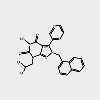 CC(C)Cn1c(=O)n(C)c(=O)c2c(-c3cccnc3)n(Cc3cccc4ccccc34)nc21